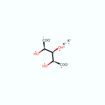 O=C([O-])[C@@H](O)[C@H](O)[C@@H](O)C(=O)[O-].[K+].[K+]